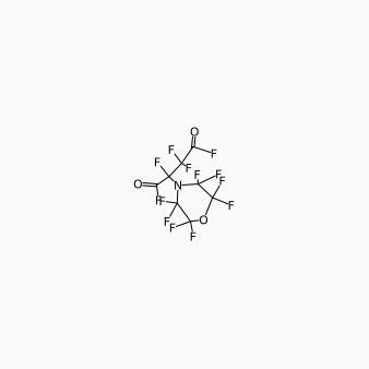 O=C(F)C(F)(F)C(F)(C(=O)F)N1C(F)(F)C(F)(F)OC(F)(F)C1(F)F